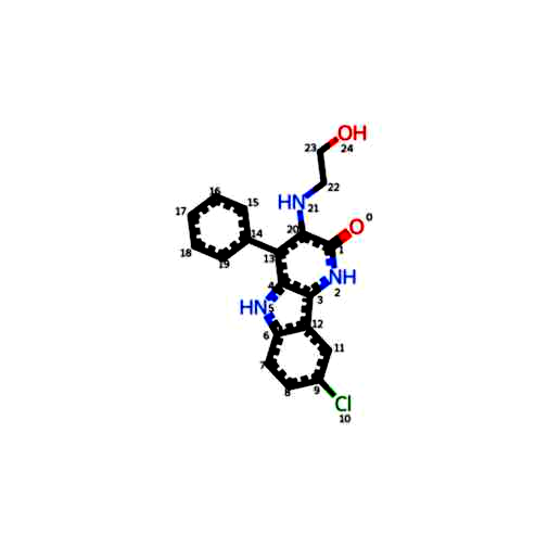 O=c1[nH]c2c([nH]c3ccc(Cl)cc32)c(-c2ccccc2)c1NCCO